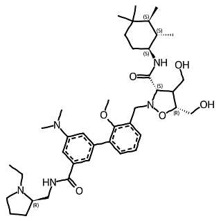 CCN1CCC[C@@H]1CNC(=O)c1cc(-c2cccc(CN3O[C@@H](CO)C(CO)[C@H]3C(=O)N[C@H]3CCC(C)(C)[C@@H](C)[C@@H]3C)c2OC)cc(N(C)C)c1